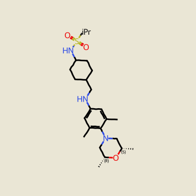 Cc1cc(NCC2CCC(NS(=O)(=O)C(C)C)CC2)cc(C)c1N1C[C@@H](C)O[C@@H](C)C1